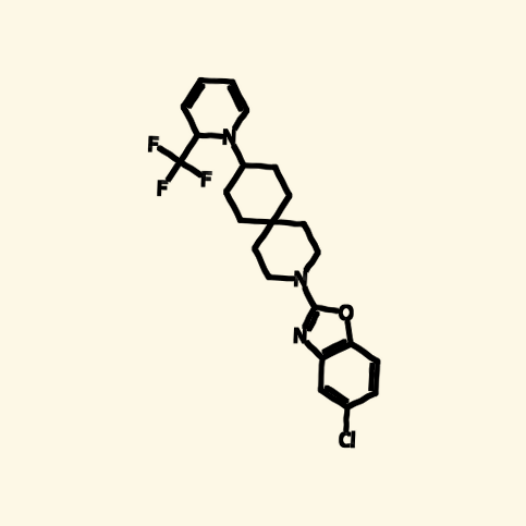 FC(F)(F)C1C=CC=CN1C1CCC2(CC1)CCN(c1nc3cc(Cl)ccc3o1)CC2